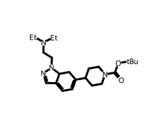 CCN(CC)CCN1N=CC2=CC=C(C3CCN(C(=O)OC(C)(C)C)CC3)CC21